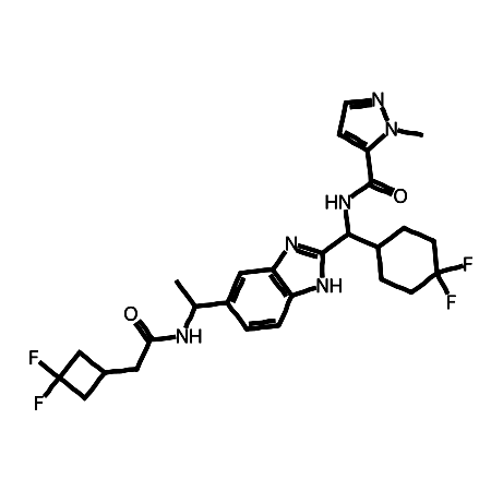 CC(NC(=O)CC1CC(F)(F)C1)c1ccc2[nH]c(C(NC(=O)c3ccnn3C)C3CCC(F)(F)CC3)nc2c1